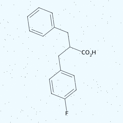 O=C(O)C(Cc1ccccc1)Cc1ccc(F)cc1